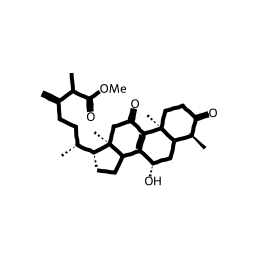 C=C(CC[C@@H](C)[C@H]1CCC2C3=C(C(=O)C[C@@]21C)[C@@]1(C)CCC(=O)[C@@H](C)C1C[C@@H]3O)C(C)C(=O)OC